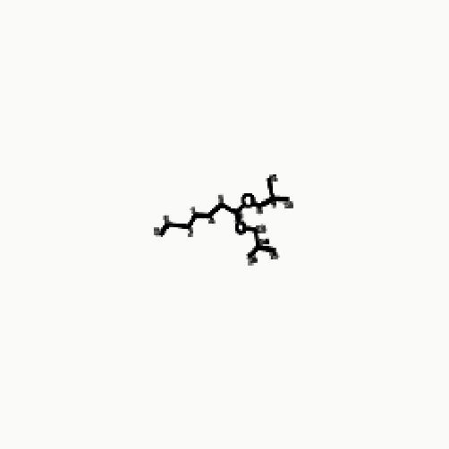 CCCCCCC(OCC(C)C)OCC(C)C